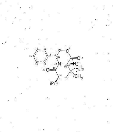 CC(C)[C@@H]1CC(C)(C)[C@H]2C(=O)OC[C@@H](c3ccccc3)N2C1=O